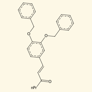 CCCC(=O)C=Cc1ccc(OCc2ccccc2)c(OCc2ccccc2)c1